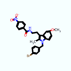 COc1ccc2c(c1)c(CCNC(=O)c1ccc([N+](=O)[O-])cc1)c(C)n2Cc1ccc(Br)cc1